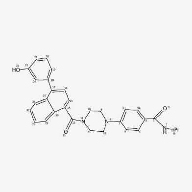 CCCNC(=O)c1ccc(N2CCN(C(=O)c3ccc(-c4cccc(O)c4)c4ccccc34)CC2)cc1